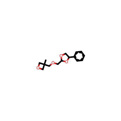 CC1(COCC2OCC(c3ccccc3)O2)COC1